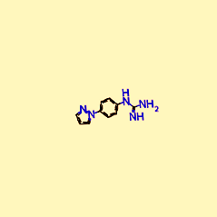 N=C(N)Nc1ccc(-n2cccn2)cc1